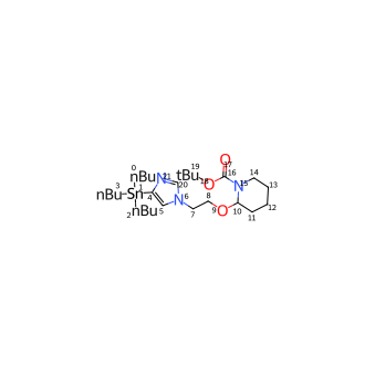 CCC[CH2][Sn]([CH2]CCC)([CH2]CCC)[c]1cn(CCOC2CCCCN2C(=O)OC(C)(C)C)cn1